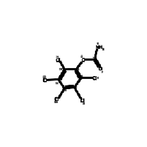 NC(=O)Oc1c(Cl)c(Cl)c(Cl)c(Cl)c1Cl